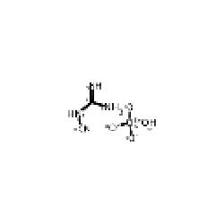 N#CNC(=N)N.[O-][Cl+3]([O-])([O-])O